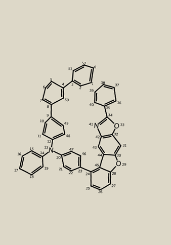 c1ccc(-c2cccc(-c3ccc(N(c4ccccc4)c4ccc(-c5cccc6oc7cc8oc(-c9ccccc9)nc8cc7c56)cc4)cc3)c2)cc1